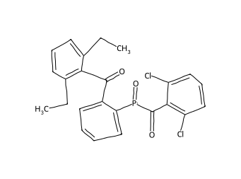 CCc1cccc(CC)c1C(=O)c1ccccc1[P](=O)C(=O)c1c(Cl)cccc1Cl